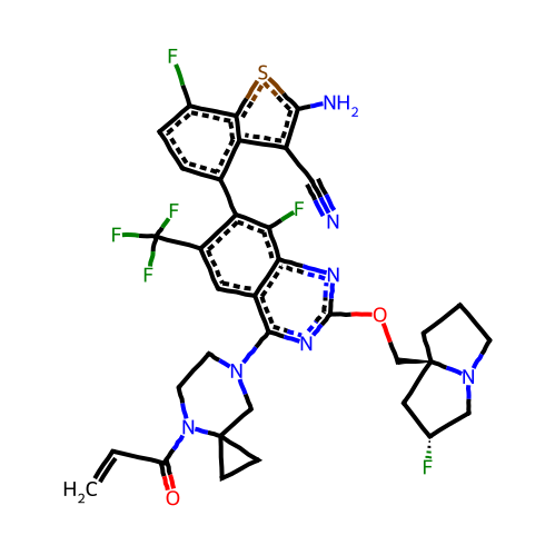 C=CC(=O)N1CCN(c2nc(OC[C@@]34CCCN3C[C@H](F)C4)nc3c(F)c(-c4ccc(F)c5sc(N)c(C#N)c45)c(C(F)(F)F)cc23)CC12CC2